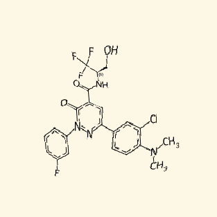 CN(C)c1ccc(-c2cc(C(=O)N[C@H](CO)C(F)(F)F)c(=O)n(-c3cccc(F)c3)n2)cc1Cl